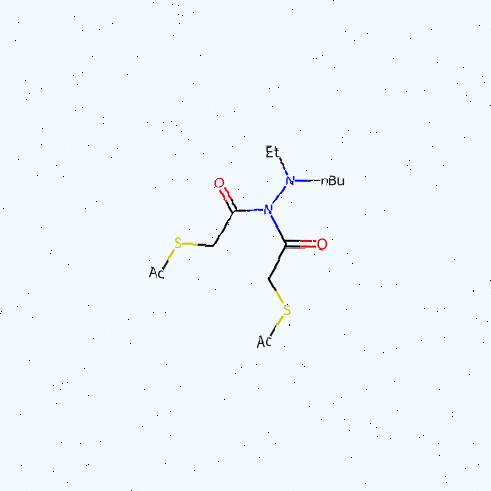 CCCCN(CC)N(C(=O)CSC(C)=O)C(=O)CSC(C)=O